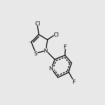 Fc1cnc(N2S[C]=C(Cl)C2Cl)c(F)c1